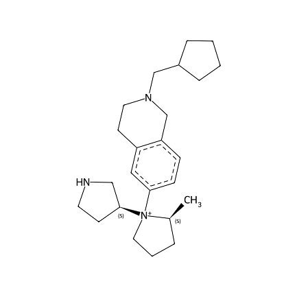 C[C@H]1CCC[N+]1(c1ccc2c(c1)CCN(CC1CCCC1)C2)[C@H]1CCNC1